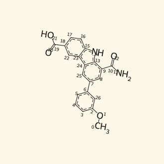 COc1cccc(-c2cc(C(N)=O)c3[nH]c4ccc(C(=O)O)cc4c3c2)c1